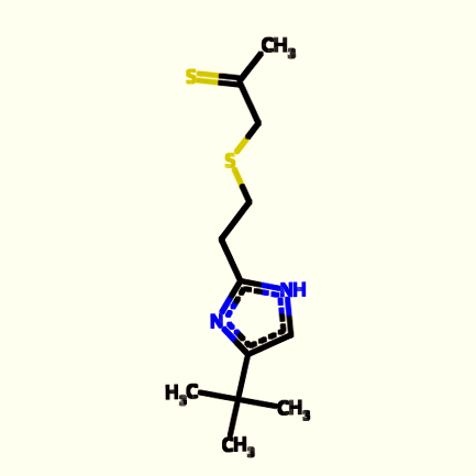 CC(=S)CSCCc1nc(C(C)(C)C)c[nH]1